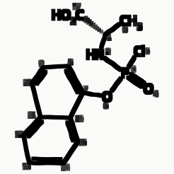 C[C@H](NP(=O)(Cl)Oc1cccc2ccccc12)C(=O)O